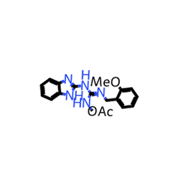 COc1ccccc1CN=C(NOC(C)=O)Nc1nc2ccccc2[nH]1